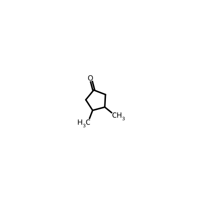 CC1CC(=O)CC1C